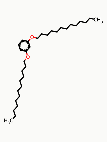 CCCCCCCCCCCCCOc1c[c]cc(OCCCCCCCCCCCCC)c1